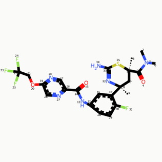 CN(C)C(=O)[C@@]1(C)C[C@@](C)(c2cc(NC(=O)c3cnc(OCC(F)(F)F)cn3)ccc2F)N=C(N)S1